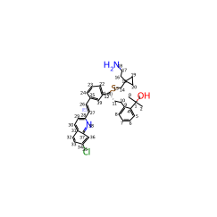 CC(C)(O)c1ccccc1CC[C@@H](SCC1(CCN)CC1)c1cccc(/C=C/c2ccc3ccc(Cl)cc3n2)c1